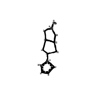 CC(C)N1CC2CC(n3cccn3)CC2C1